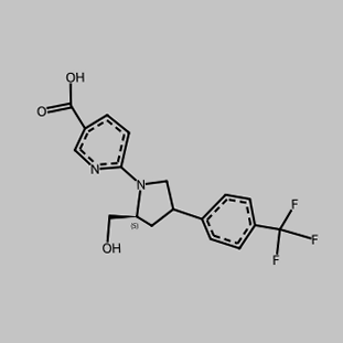 O=C(O)c1ccc(N2CC(c3ccc(C(F)(F)F)cc3)C[C@H]2CO)nc1